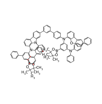 CC1(C)OB(c2cc(N(c3ccccc3)c3ccc(-c4ccccc4)cc3)cc(N(c3ccc(-c4cccc(-c5ccc6c7cccc(N(c8cc(B9OC(C)(C)C(C)(C)O9)cc(-c9ccccc9)c8)c8ccccc8-c8ccccc8)c7n(-c7ccccc7)c6c5)c4)cc3)c3cccc4c3oc3ccccc34)c2)OC1(C)C